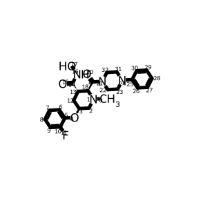 CN1C[C@@H](Oc2ccccc2F)C[C@H](C(=O)NO)[C@H]1C(=O)N1CCN(c2ccccc2)CC1